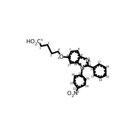 O=C(O)CCCCOc1ccc2nc(-c3ccccc3)n(-c3ccc([N+](=O)[O-])cc3)c2c1